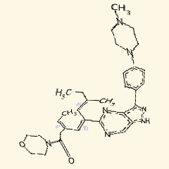 C\C=C(/C=C(\C=C(/C)CC)c1ncc2[nH]nc(-c3ccc(N4CCN(C)CC4)cc3)c2n1)C(=O)N1CCOCC1